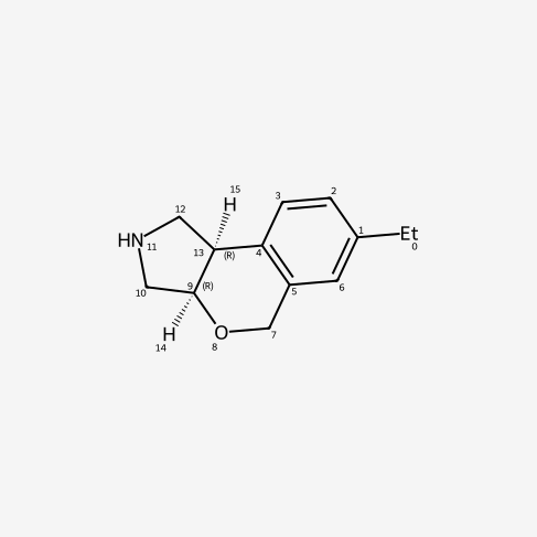 CCc1ccc2c(c1)CO[C@H]1CNC[C@@H]21